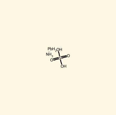 N.O=S(=O)(O)O.[PbH2]